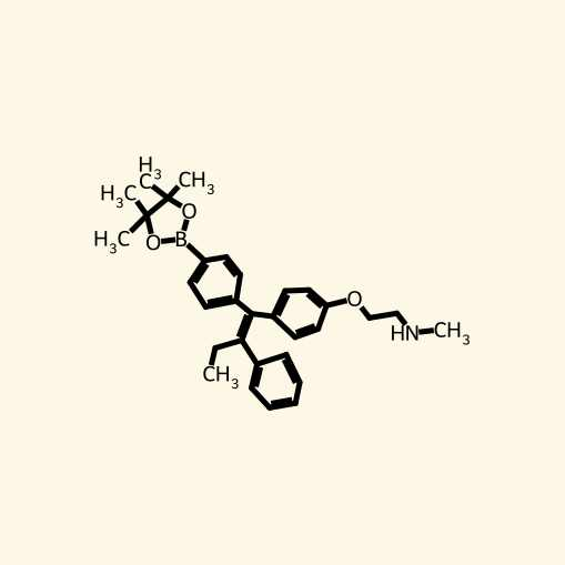 CCC(=C(c1ccc(OCCNC)cc1)c1ccc(B2OC(C)(C)C(C)(C)O2)cc1)c1ccccc1